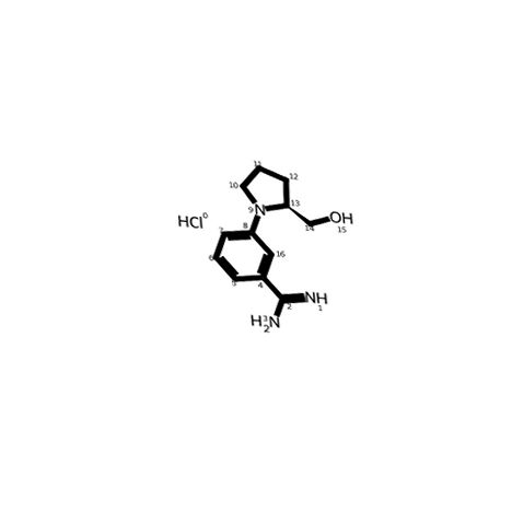 Cl.N=C(N)c1cccc(N2CCC[C@H]2CO)c1